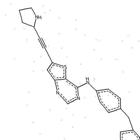 C(#CC1CCCN1)c1cc2ncnc(Nc3ccc(Cc4ccccc4)cc3)c2s1